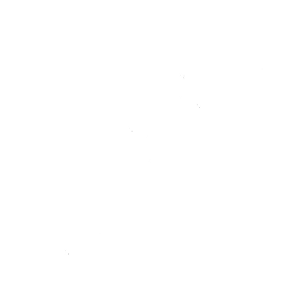 Cc1cc(Cl)cc2[nH]c(-c3ccnc(OCCCCC4CCN(C)CC4)c3Cl)nc12